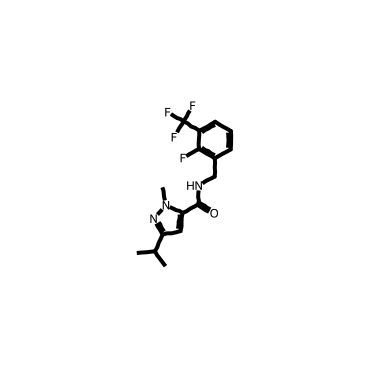 CC(C)c1cc(C(=O)NCc2cccc(C(F)(F)F)c2F)n(C)n1